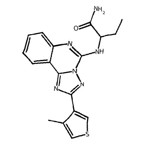 CCC(Nc1nc2ccccc2c2nc(-c3cscc3C)nn12)C(N)=O